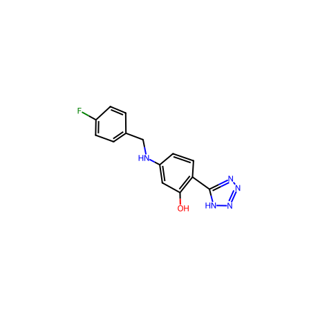 Oc1cc(NCc2ccc(F)cc2)ccc1-c1nnn[nH]1